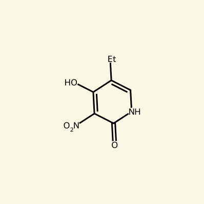 CCc1c[nH]c(=O)c([N+](=O)[O-])c1O